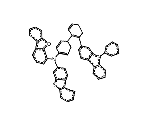 C1=CC(C2C=CC(N(c3ccc4c(c3)sc3ccccc34)c3cccc4c3oc3ccccc34)=CC2)=C(c2ccc3c4ccccc4n(-c4ccccc4)c3c2)CC1